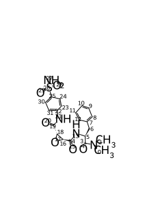 CN(C)C(=O)[C@H](Cc1ccccc1)NC(=O)[C@H]1O[C@@H]1C(=O)Nc1ccc(S(N)(=O)=O)cc1